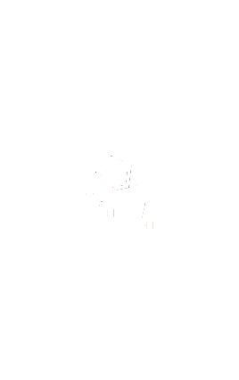 C=O.OCc1ccco1